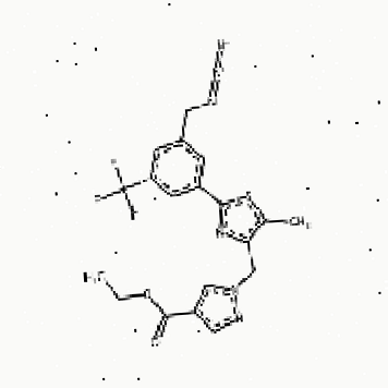 CCOC(=O)c1cnn(Cc2nc(-c3cc(CN=[N+]=[N-])cc(C(F)(F)F)c3)sc2C)c1